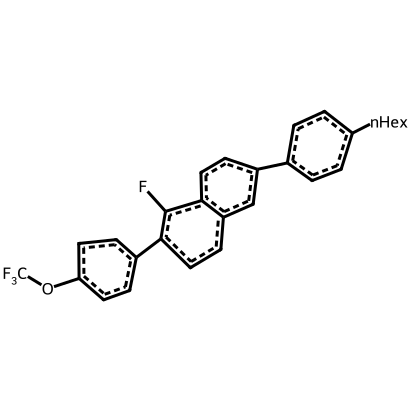 CCCCCCc1ccc(-c2ccc3c(F)c(-c4ccc(OC(F)(F)F)cc4)ccc3c2)cc1